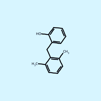 Cc1cccc(C)c1Cc1ccccc1O